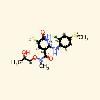 CSc1ccc(Nc2[nH]c(=O)c(F)cc2C(=O)N(C)OCC(C)O)c(F)c1